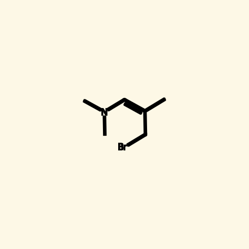 CC(=CN(C)C)CBr